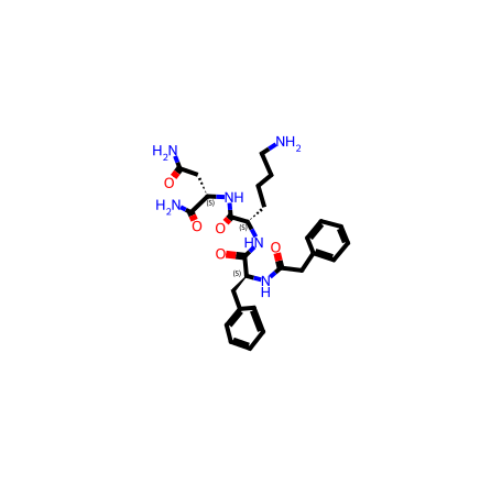 NCCCC[C@H](NC(=O)[C@H](Cc1ccccc1)NC(=O)Cc1ccccc1)C(=O)N[C@@H](CC(N)=O)C(N)=O